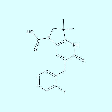 CC1(C)CN(C(=O)O)c2cc(Cc3ccccc3F)c(=O)[nH]c21